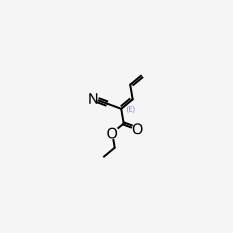 C=C/C=C(\C#N)C(=O)OCC